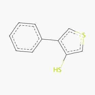 Sc1cscc1-c1ccccc1